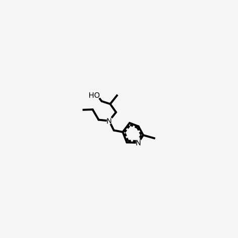 CCCN(Cc1ccc(C)nc1)CC(C)CO